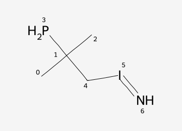 CC(C)(P)CI=N